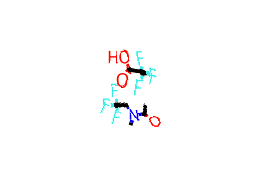 CC(=O)N(C)CC(F)(F)F.O=C(O)C(F)(F)F